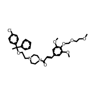 COCCOCOc1c(OC)cc(C=CC(=O)N2CCN(CCOC(C)(c3ccccc3)c3ccc(Cl)cc3)CC2)cc1OC